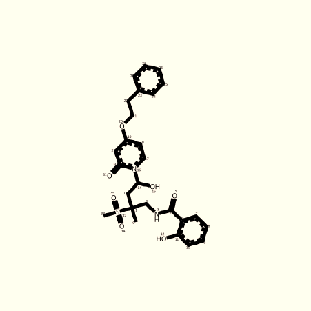 CC(CNC(=O)c1ccccc1O)(CC(O)n1ccc(OCCc2ccccc2)cc1=O)S(C)(=O)=O